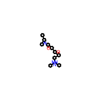 c1ccc(-c2ccc3c(c2)c2ccccc2n3-c2ccc3c(c2)oc2cc(-c4ccc5c(c4)oc4cccc(-c6cccc(-c7nc(-c8ccccc8)nc(-c8ccccc8)n7)c6)c45)ccc23)cc1